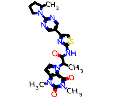 CC1CCCN1c1ncc(-c2csc(NC(=O)C(C)n3ccc4c3c(=O)n(C)c(=O)n4C)n2)cn1